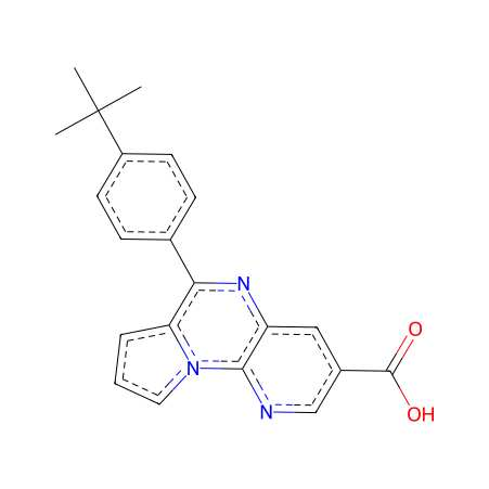 CC(C)(C)c1ccc(-c2nc3cc(C(=O)O)cnc3n3cccc23)cc1